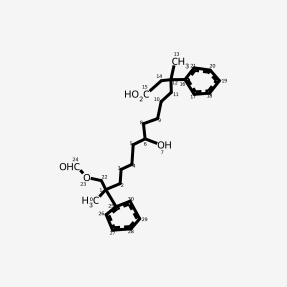 CC(CCCCC(O)CCCCC(C)(CC(=O)O)c1ccccc1)(COC=O)c1ccccc1